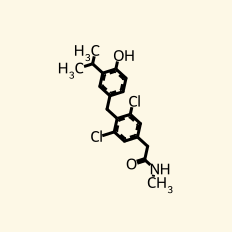 CNC(=O)Cc1cc(Cl)c(Cc2ccc(O)c(C(C)C)c2)c(Cl)c1